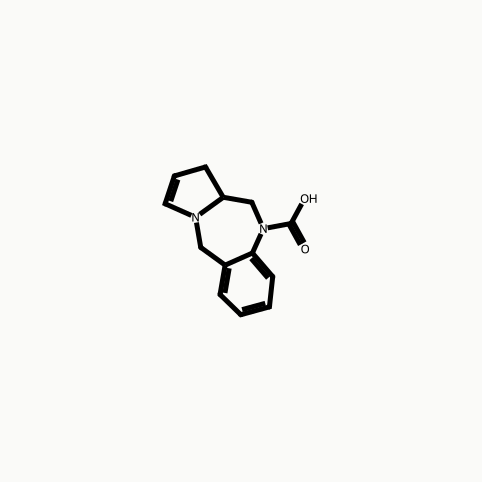 O=C(O)N1CC2CC=CN2Cc2ccccc21